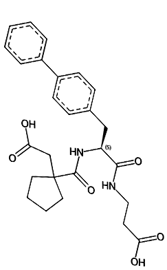 O=C(O)CCNC(=O)[C@H](Cc1ccc(-c2ccccc2)cc1)NC(=O)C1(CC(=O)O)CCCC1